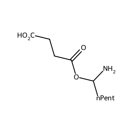 CCCCCC(N)OC(=O)CCC(=O)O